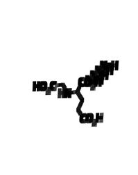 O=C(O)CCC(NCC(=O)O)C(=O)O.[NaH].[NaH].[NaH].[NaH]